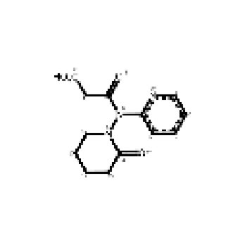 O=C(O)CC(=O)N(c1ccccn1)N1CCCCC1=O